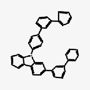 c1ccc(-c2cccc(-c3ccc(-n4c5ccccc5c5ccc(-c6cccc(-c7ccccc7)c6)cc54)cc3)c2)cc1